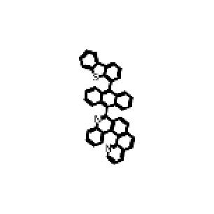 c1cnc2c(c1)ccc1ccc3c(-c4c5ccccc5c(-c5cccc6c5sc5ccccc56)c5ccccc45)nc4ccccc4c3c12